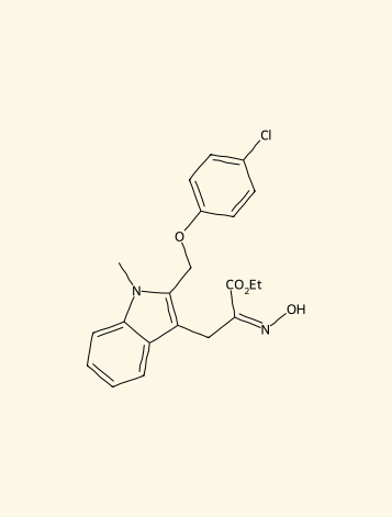 CCOC(=O)/C(Cc1c(COc2ccc(Cl)cc2)n(C)c2ccccc12)=N\O